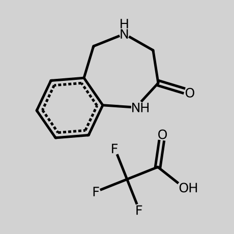 O=C(O)C(F)(F)F.O=C1CNCc2ccccc2N1